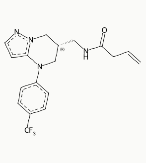 C=CCC(=O)NC[C@@H]1CN(c2ccc(C(F)(F)F)cc2)c2ccnn2C1